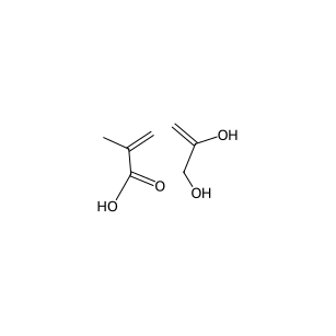 C=C(C)C(=O)O.C=C(O)CO